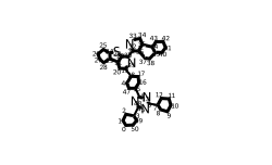 c1ccc(-c2nc(-c3ccccc3)nc(-c3ccc(-c4cc5c(sc6ccccc65)c(-c5nccc6c5ccc5ccccc56)n4)cc3)n2)cc1